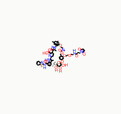 Cc1c(-c2ccc(-c3cnn(CC45CC6(C)CC(C)(C4)CC(OCCN(C)C(=O)OCc4ccc(O[C@@H]7O[C@H](C(=O)O)[C@@H](O)[C@H](O)[C@H]7O)cc4OCCOCCNC(=O)CCN4C(=O)C=CC4=O)(C6)C5)c3C)c(C(O)O)n2)[nH]c2c(C(=O)Nc3nc4ccccc4s3)cccc12